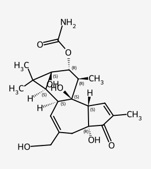 CC1=C[C@H]2[C@@]3(O)[C@H](C)[C@@H](OC(N)=O)[C@]4(O)[C@@H]([C@@H]3C=C(CO)C[C@]2(O)C1=O)C4(C)C